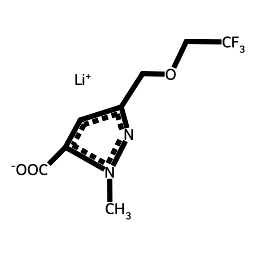 Cn1nc(COCC(F)(F)F)cc1C(=O)[O-].[Li+]